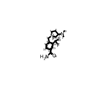 CN(C)C1CCN(Cc2ccc(C(N)=O)cc2C(F)(F)F)C1